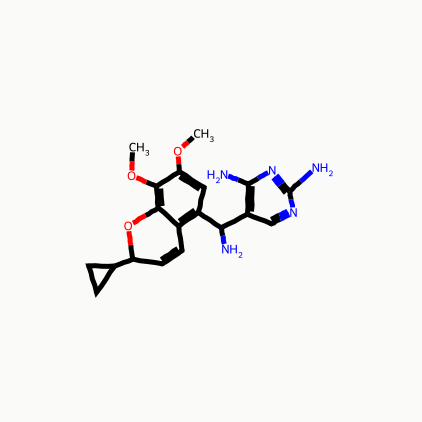 COc1cc(C(N)c2cnc(N)nc2N)c2c(c1OC)OC(C1CC1)C=C2